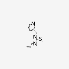 C=CCN(C)C(=NCc1cccnc1)SC